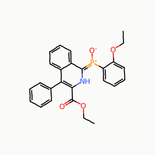 CCOC(=O)c1[nH]c(=[P+]([O-])c2ccccc2OCC)c2ccccc2c1-c1ccccc1